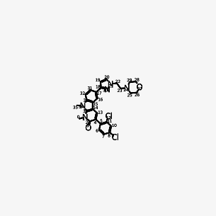 Cn1c(=O)c(-c2ccc(Cl)cc2Cl)cc2c3cc(-c4ccn(CCN5CCOCC5)n4)ccc3n(C)c21